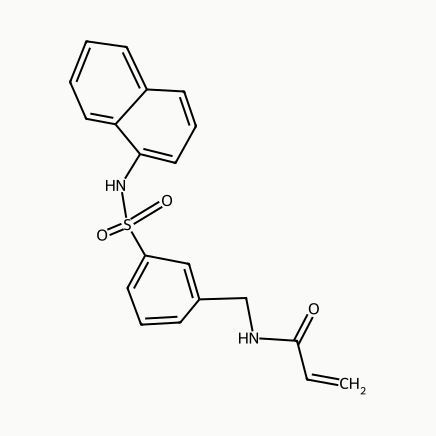 C=CC(=O)NCc1cccc(S(=O)(=O)Nc2cccc3ccccc23)c1